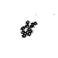 C=C1c2ccccc2-c2ccccc2C1c1cccc2c1-c1ccc(N(c3cc(-c4ccccc4)cc(-c4ccccc4)c3)c3ccc4c(c3)C(C)(C)c3ccccc3-4)cc1C2(C)C